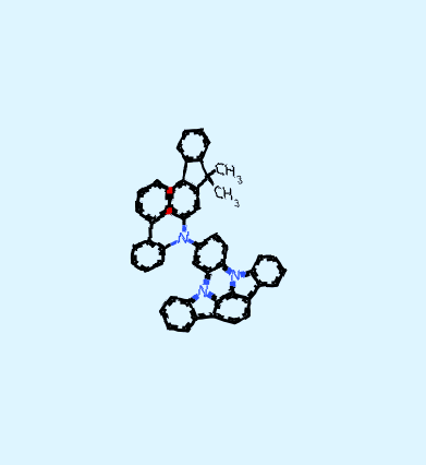 CC1(C)c2ccccc2-c2ccc(N(c3ccc4c(c3)n3c5ccccc5c5ccc6c7ccccc7n4c6c53)c3ccccc3-c3ccccc3)cc21